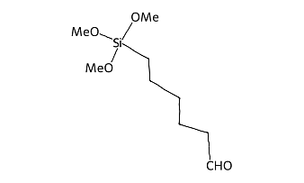 CO[Si](CCCCCC=O)(OC)OC